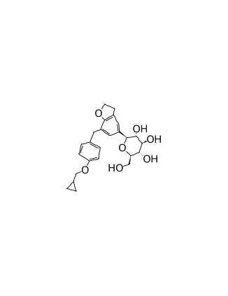 OC[C@H]1O[C@@H](c2cc3c(c(Cc4ccc(OCC5CC5)cc4)c2)OCC3)[C@H](O)[C@@H](O)[C@@H]1O